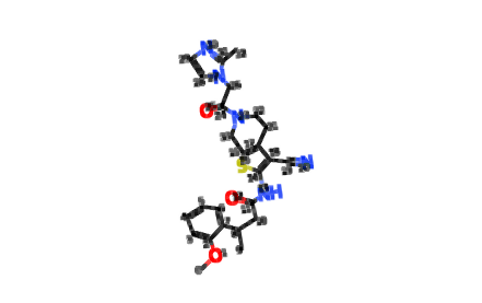 COc1ccccc1C(C)CC(=O)Nc1sc2c(c1C#N)CCN(C(=O)Cn1ccnc1C)C2